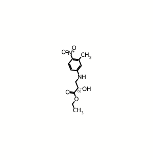 CCOC(=O)[C@@H](O)CNc1ccc([N+](=O)[O-])c(C)c1